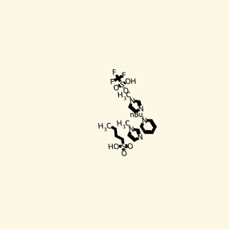 CCCCN1C=CC=CC1.CCCCS(=O)(=O)O.Cn1ccnc1.Cn1ccnc1.O=S(=O)(O)C(F)(F)F